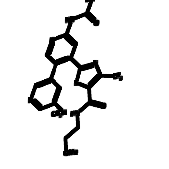 CCNC(=O)Nc1cc(-c2nc(C(F)(F)F)c(C(=O)NCCOC)s2)c(-c2cncc(C(=O)O)c2)cn1